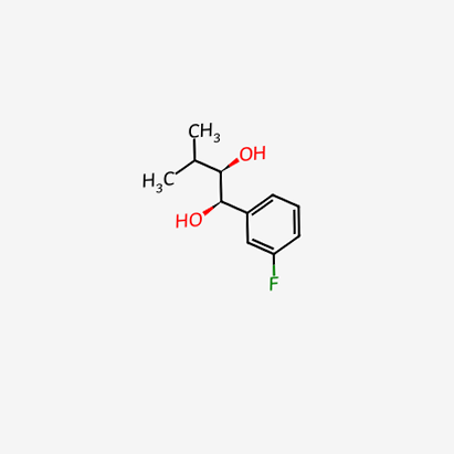 CC(C)[C@@H](O)[C@H](O)c1cccc(F)c1